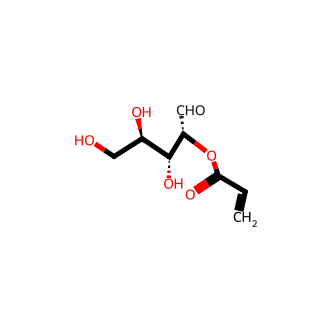 C=CC(=O)O[C@@H](C=O)[C@H](O)[C@H](O)CO